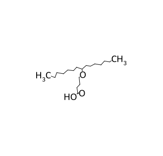 CCCCCCCC(CCCCCCC)OCCCC(=O)O